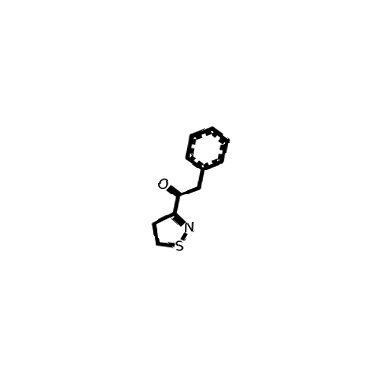 O=C(Cc1ccccc1)C1=NSCC1